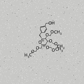 COCOCC1O[C@@H](Cc2ccc(CO)cc2)C(OCOC)C(OCOC)[C@@H]1OCOC